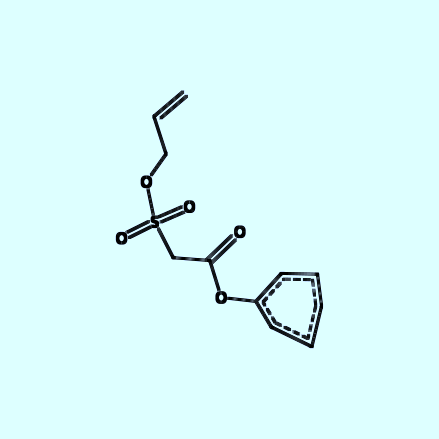 C=CCOS(=O)(=O)CC(=O)Oc1ccccc1